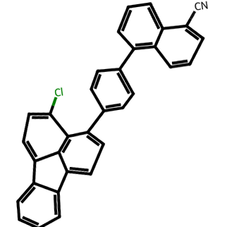 N#Cc1cccc2c(-c3ccc(-c4ccc5c6c(ccc(Cl)c46)-c4ccccc4-5)cc3)cccc12